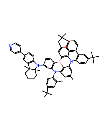 Cc1cc2c3c(c1)N(c1ccc(C(C)(C)C)cc1-c1ccccc1)c1cc4c(cc1B3c1ccc(N3c5ccc(-c6ccncc6)cc5C5(C)CCCCC35C)cc1N2c1ccc(C(C)(C)C)cc1C)CC(C)(C)C4